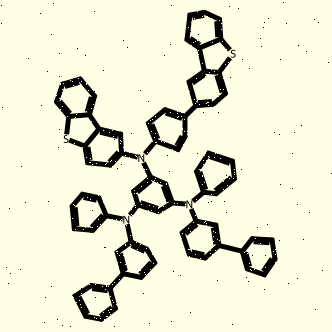 c1ccc(-c2cccc(N(c3ccccc3)c3cc(N(c4ccccc4)c4cccc(-c5ccccc5)c4)cc(N(c4ccc(-c5ccc6sc7ccccc7c6c5)cc4)c4ccc5sc6ccccc6c5c4)c3)c2)cc1